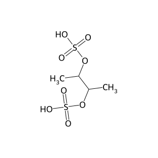 CC(OS(=O)(=O)O)C(C)OS(=O)(=O)O